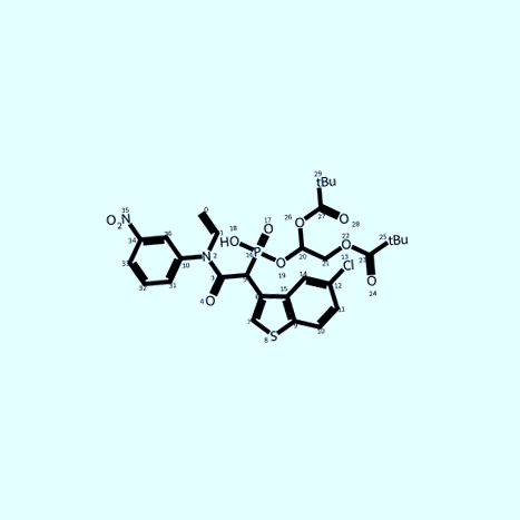 C=CN(C(=O)C(c1csc2ccc(Cl)cc12)P(=O)(O)OC(COC(=O)C(C)(C)C)OC(=O)C(C)(C)C)c1cccc([N+](=O)[O-])c1